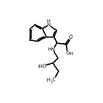 CCC(O)CNC(C(=O)O)c1c[nH]c2ccccc12